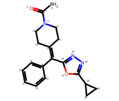 BC(=O)N1CCC(=C(c2ccccc2)c2nnc(C3CC3)o2)CC1